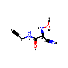 C#CCNC(=O)C(C#N)=NOC